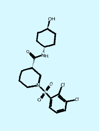 O=C(N[C@H]1CC[C@H](O)CC1)[C@H]1CCCN(S(=O)(=O)c2cccc(Cl)c2Cl)C1